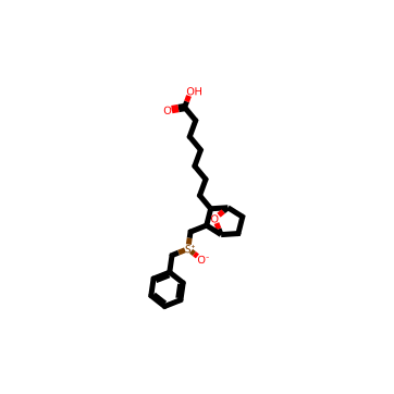 O=C(O)CCCCCCC1C2CCC(O2)C1C[S+]([O-])Cc1ccccc1